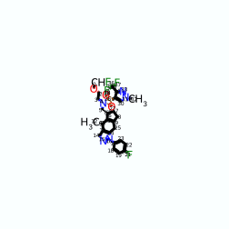 COCCN(C[C@H]1CCC2=C1[C@@H](C)c1cnn(-c3ccc(F)cc3)c1C2)S(=O)(=O)c1cn(C)nc1C(F)(F)F